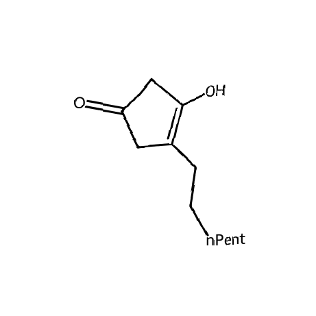 CCCCCCCC1=C(O)CC(=O)C1